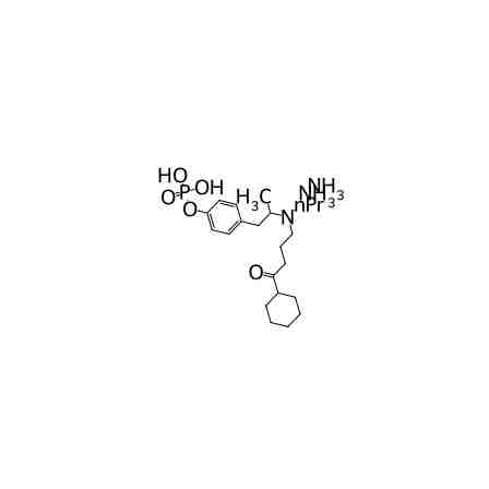 CCCN(CCCC(=O)C1CCCCC1)C(C)Cc1ccc(OP(=O)(O)O)cc1.N.N